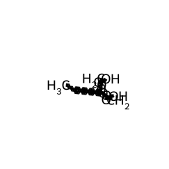 C=C(CO)C(=O)OCOc1ccc(-c2ccc(-c3ccc(C4CCC(CCCCC)CC4)cc3)cc2)cc1OCOC(=O)C(=C)CO